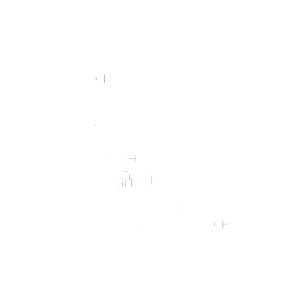 CCCc1ccc(-c2cccc3c2C=C(C)C3C[SiH]([Zr])CC2C(C)=Cc3c(-c4ccc(CCC)cc4)cccc32)cc1